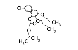 CCCCOc1cc2ccc(Cl)cc2c(OC(=O)COCC(C)C)c1OCCCC